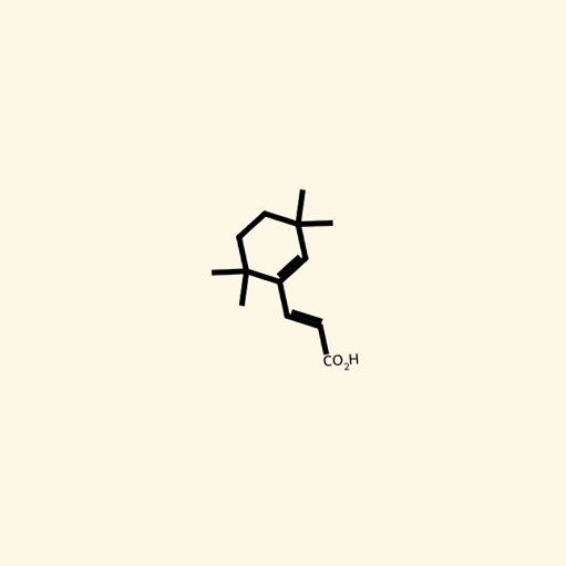 CC1(C)C=C(/C=C/C(=O)O)C(C)(C)CC1